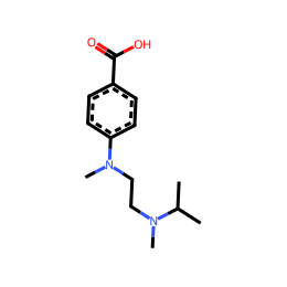 CC(C)N(C)CCN(C)c1ccc(C(=O)O)cc1